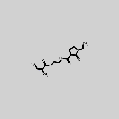 C=CN1CCC(C(=O)NCCOC(=O)/C(C)=C\C)C1=O